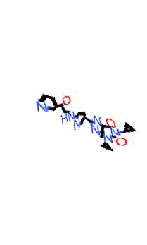 CC12N=C(c3ccc(NCCC(=O)c4cccnc4)nc3)N=C1C(=O)N(C1CC1)C(=O)N2C1CC1